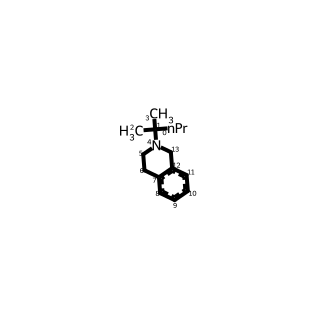 CCCC(C)(C)N1CCc2ccccc2C1